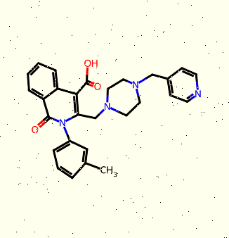 Cc1cccc(-n2c(CN3CCN(Cc4ccncc4)CC3)c(C(=O)O)c3ccccc3c2=O)c1